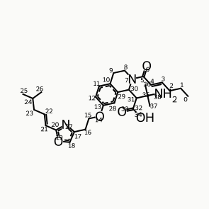 CCCC=CC(=O)N1CCc2ccc(OCCc3coc(C=CCC(C)C)n3)cc2C1C(C(=O)O)C(C)(C)N